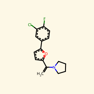 C=C(c1ccc(-c2ccc(F)c(Cl)c2)o1)N1CCCC1